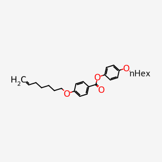 C=CCCCCCOc1ccc(C(=O)Oc2ccc(OCCCCCC)cc2)cc1